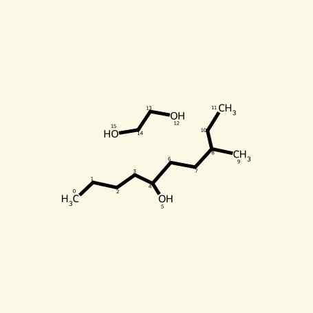 CCCCC(O)CCC(C)CC.OCCO